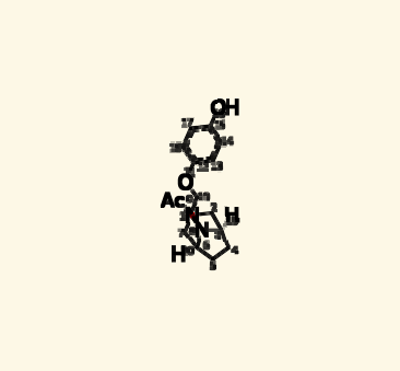 CC(=O)N1C[C@H]2CC[C@@H](C1)N2CCOc1ccc(O)cc1